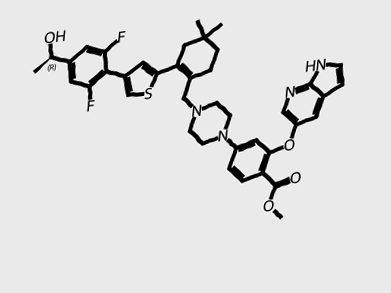 COC(=O)c1ccc(N2CCN(CC3=C(c4cc(-c5c(F)cc([C@@H](C)O)cc5F)cs4)CC(C)(C)CC3)CC2)cc1Oc1cnc2[nH]ccc2c1